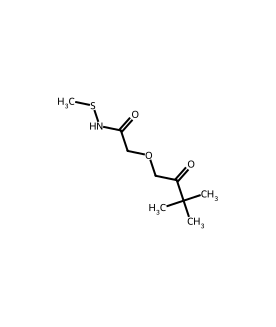 CSNC(=O)COCC(=O)C(C)(C)C